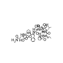 CC[C@H](C)[C@H](NC(=O)[C@@H]1CCCN1)C(=O)N[C@@H](CC(C)C)C(=O)N[C@@H](CO)C(=O)N[C@@H](CO)C(=O)N[C@@H](Cc1ccccc1)C(=O)N1CCC[C@H]1C(=O)N[C@@H](CCC(N)=O)C(=O)O